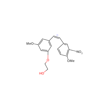 COc1cc(/C=C\c2ccc(OC)c([N+](=O)[O-])c2)cc(OCCO)c1